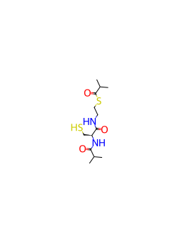 CC(C)C(=O)N[C@@H](CS)C(=O)NCCSC(=O)C(C)C